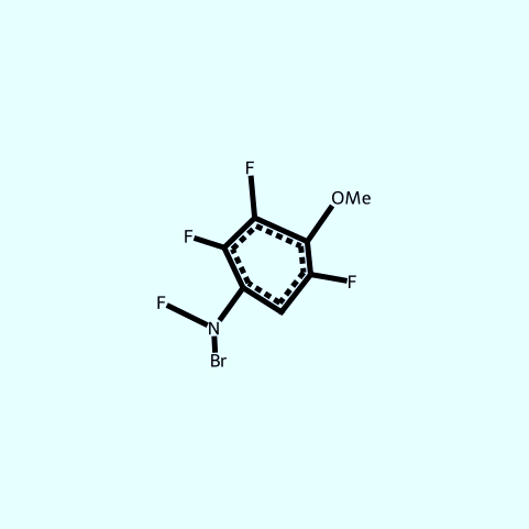 COc1c(F)cc(N(F)Br)c(F)c1F